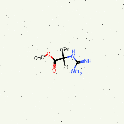 CCCC(CC)(NC(=N)N)C(=O)OC=O